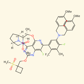 COc1ccc(CN(Cc2ccc(OC)cc2)c2cc(-c3nc4c5c(nc(OCC6(S(C)(=O)=O)CCC6)nc5c3F)N3C[C@H]5CC[C@@H]([C@H]3[C@H](C)O4)N5C(=O)OC(C)(C)C)c(C(F)(F)F)c(C)c2F)cc1